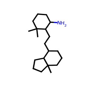 CC1(C)CCCC(N)C1CCC1CCCC2(C)CCCC12